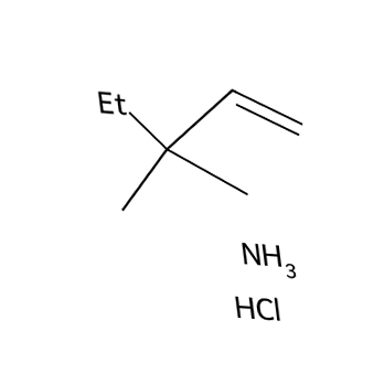 C=CC(C)(C)CC.Cl.N